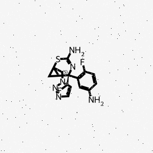 NC1=N[C@](CF)(c2cc(N)ccc2F)C2CC2(Cn2ccnn2)S1